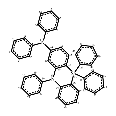 c1ccc(N(c2ccccc2)c2ccc3c(c2)N(c2ccccc2)c2ccccc2[Si]3(c2ccccc2)c2ccccc2)cc1